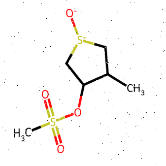 CC1C[S+]([O-])CC1OS(C)(=O)=O